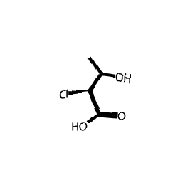 CC(O)[C@H](Cl)C(=O)O